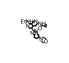 CCNc1ncc(-c2nc3ccc(N4CCOCC4)cn3n2)c2cc(NC(=O)C3CC3)ncc12